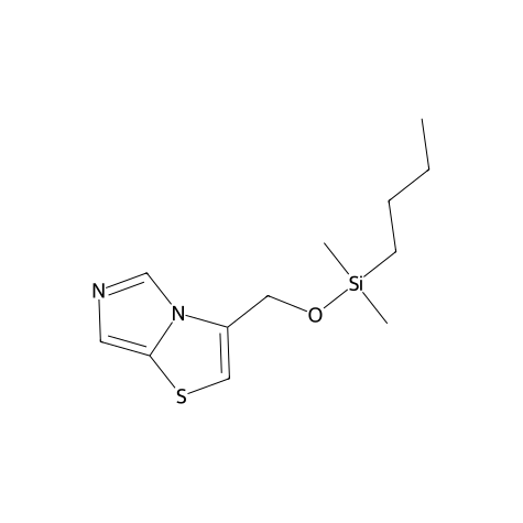 CCCC[Si](C)(C)OCc1csc2cncn12